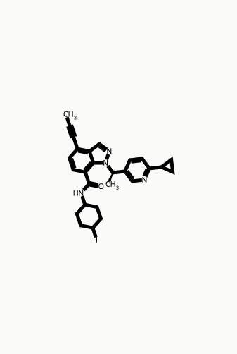 CC#Cc1ccc(C(=O)NC2CCC(I)CC2)c2c1cnn2[C@H](C)c1ccc(C2CC2)nc1